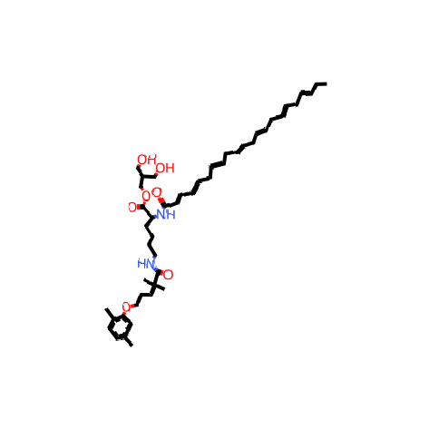 CCC=CCC=CCC=CCC=CCC=CCC=CCCC(=O)NC(CCCCNC(=O)C(C)(C)CCCOc1cc(C)ccc1C)C(=O)OCC(CO)CO